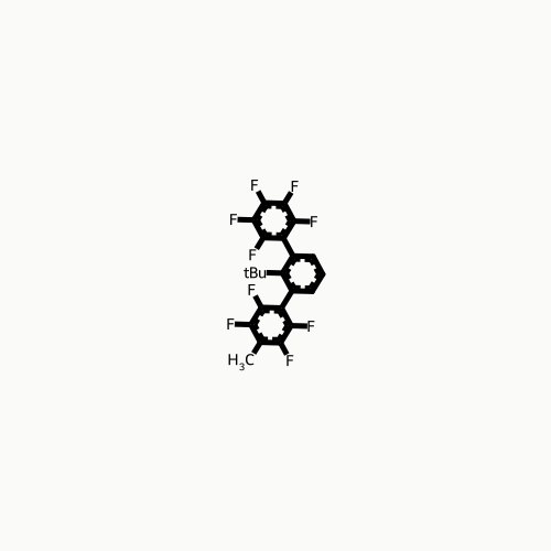 Cc1c(F)c(F)c(-c2cccc(-c3c(F)c(F)c(F)c(F)c3F)c2C(C)(C)C)c(F)c1F